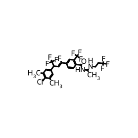 Cc1cc(C(/C=C(\F)c2ccc(C(=O)NC(C)NCCC(F)(F)F)c(C(F)(F)F)c2)C(F)(F)F)cc(C)c1Cl